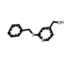 OCc1ccnc(SCc2ccccc2)c1